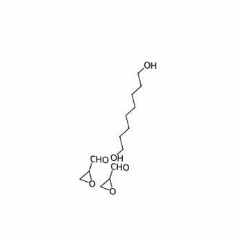 O=CC1CO1.O=CC1CO1.OCCCCCCCCO